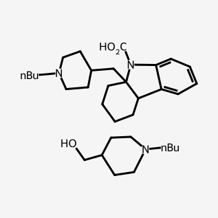 CCCCN1CCC(CC23CCCCC2c2ccccc2N3C(=O)O)CC1.CCCCN1CCC(CO)CC1